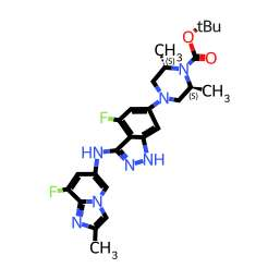 Cc1cn2cc(Nc3n[nH]c4cc(N5C[C@H](C)N(C(=O)OC(C)(C)C)[C@@H](C)C5)cc(F)c34)cc(F)c2n1